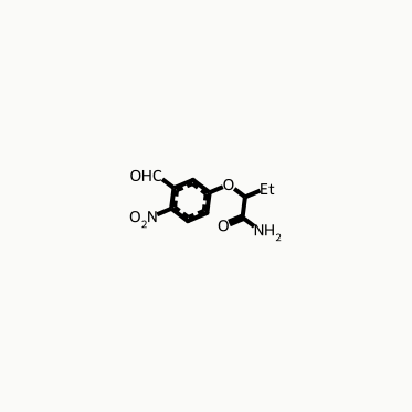 CCC(Oc1ccc([N+](=O)[O-])c(C=O)c1)C(N)=O